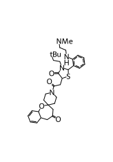 CNCCNc1ccccc1C1SC(CC(=O)N2CCC3(CC2)CC(=O)CC2C=CC=CC2O3)C(=O)N1CCC(C)(C)C